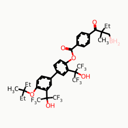 BCC(C)(CC)C(=O)c1ccc(C(=O)Oc2ccc(-c3ccc(OC(C)(CC)CC)c(C(O)(C(F)(F)F)C(F)(F)F)c3)cc2C(O)(C(F)(F)F)C(F)(F)F)cc1